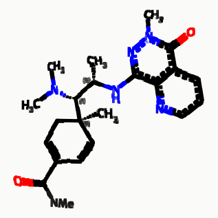 CNC(=O)C1=CC[C@@](C)([C@@H]([C@H](C)Nc2nn(C)c(=O)c3cccnc23)N(C)C)C=C1